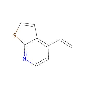 C=Cc1ccnc2sccc12